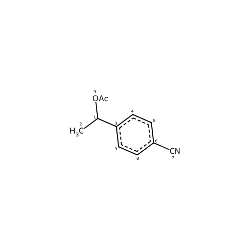 CC(=O)OC(C)c1ccc(C#N)cc1